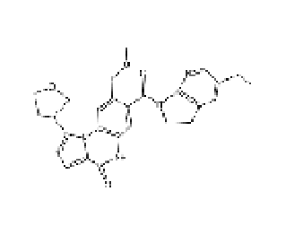 CCc1cnc2c(c1)CCN2C(=O)c1cc2[nH]c(=O)c3cnc(C4CCOC4)n3c2cc1COC